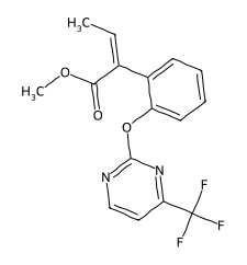 CC=C(C(=O)OC)c1ccccc1Oc1nccc(C(F)(F)F)n1